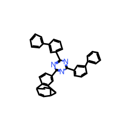 C1=CC2C3C=CC1c1ccc(-c4nc(-c5cccc(-c6ccccc6)c5)nc(-c5cccc(-c6ccccc6)c5)n4)cc1C23